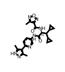 Cc1nonc1C(=O)N[C@H](C(=O)Nc1ccc(-c2c(C)n[nH]c2C)nc1)C(C1CC1)C1CC1